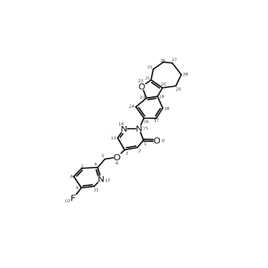 O=c1cc(OCc2ccc(F)cn2)cnn1-c1ccc2c3c(oc2c1)CCCCC3